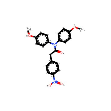 COc1ccc(N(C(=O)Cc2ccc([N+](=O)[O-])cc2)c2ccc(OC)cc2)cc1